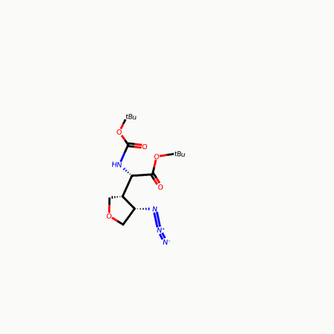 CC(C)(C)OC(=O)N[C@H](C(=O)OC(C)(C)C)[C@H]1COC[C@H]1N=[N+]=[N-]